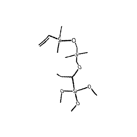 C=C[Si](C)(C)O[Si](C)(C)OC(C)[Si](OC)(OC)OC